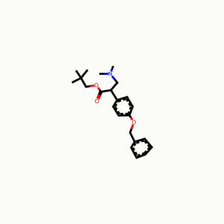 CN(C)CC(C(=O)OCC(C)(C)C)c1ccc(OCc2ccccc2)cc1